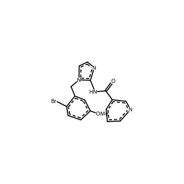 COc1ccc(Br)c(Cn2ccnc2NC(=O)c2cccnc2)c1